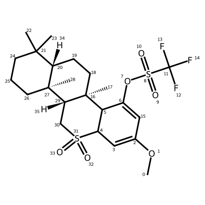 COC1=CC2C(C(OS(=O)(=O)C(F)(F)F)=C1)[C@]1(C)CC[C@H]3C(C)(C)CCC[C@]3(C)[C@H]1CS2(=O)=O